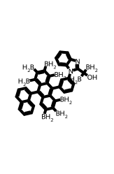 Bc1cc2c(-c3cccc4ccccc34)c3c(B)c(B)c(B)c(B)c3c(-c3cccc(-n4c(C(B)(B)O)nc5ccccc54)c3)c2c(B)c1B